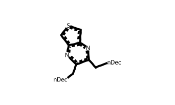 CCCCCCCCCCCc1nc2cscc2nc1CCCCCCCCCCC